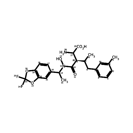 Cc1cccc(CC(C)[C@@H](C(=O)N(O)C(C)c2ccc3c(c2)OC(F)(F)O3)C(N)C(=O)O)c1